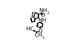 C#CC(C)Oc1ccc(Nc2c(C(N)=O)cnn3cccc23)cc1